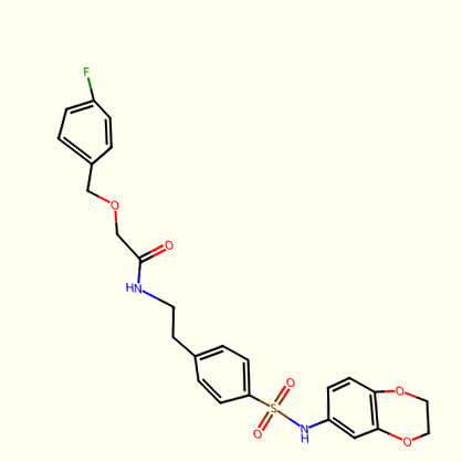 O=C(COCc1ccc(F)cc1)NCCc1ccc(S(=O)(=O)Nc2ccc3c(c2)OCCO3)cc1